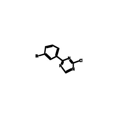 Clc1ncnc(-c2cccc(Br)c2)n1